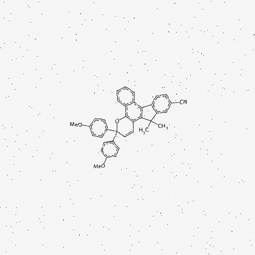 COc1ccc(C2(c3ccc(OC)cc3)C=Cc3c4c(c5ccccc5c3O2)-c2ccc(C#N)cc2C4(C)C)cc1